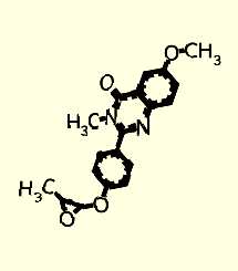 COc1ccc2nc(-c3ccc(OC4OC4C)cc3)n(C)c(=O)c2c1